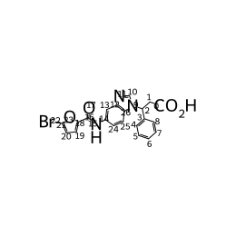 O=C(O)CC(c1ccccc1)n1cnc2cc(NC(=O)c3ccc(Br)o3)ccc21